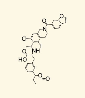 C=C(NC(Cc1cccc(C(CC)OC=O)c1)C(=O)O)c1c(Cl)cc2c(c1I)CCN(C(=O)c1ccc3ccoc3c1)C2